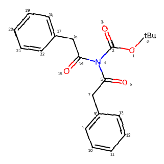 CC(C)(C)OC(=O)N(C(=O)Cc1ccccc1)C(=O)Cc1ccccc1